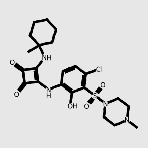 CN1CCN(S(=O)(=O)c2c(Cl)ccc(Nc3c(NC4(C)CCCCC4)c(=O)c3=O)c2O)CC1